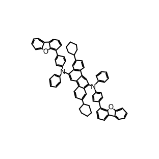 c1ccc(N(c2ccc(-c3cccc4c3oc3ccccc34)cc2)c2cc3c4ccc(C5CCCCC5)cc4c(N(c4ccccc4)c4ccc(-c5cccc6c5oc5ccccc56)cc4)cc3c3ccc(C4CCCCC4)cc23)cc1